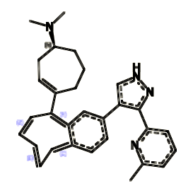 Cc1cccc(-c2n[nH]cc2-c2ccc3/c(c2)=C(C2=CC[C@@H](N(C)C)CCC2)\C=C/C=C/C=3)n1